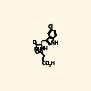 NC(=O)[C@H](Cc1c[nH]c2ccc(Cl)cc12)NC(=O)CCC(=O)O